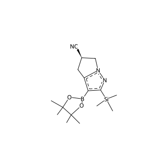 CC1(C)OB(c2c([Si](C)(C)C)nn3c2C[C@@H](C#N)C3)OC1(C)C